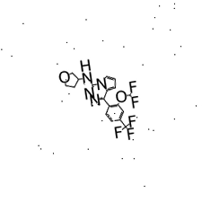 FC(F)Oc1cc(C(F)(F)F)ccc1-c1nnc(NC2CCOC2)n2cccc12